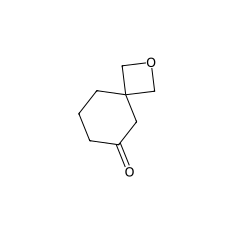 O=C1CCCC2(COC2)C1